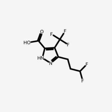 O=C(O)c1[nH]nc(CCC(F)F)c1C(F)(F)F